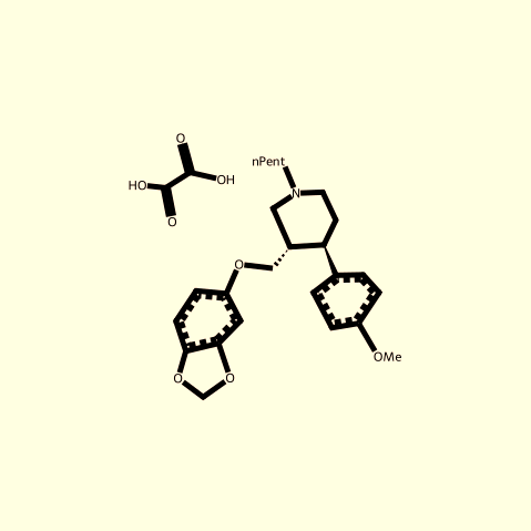 CCCCCN1CC[C@@H](c2ccc(OC)cc2)[C@H](COc2ccc3c(c2)OCO3)C1.O=C(O)C(=O)O